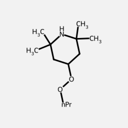 CCCOOC1CC(C)(C)NC(C)(C)C1